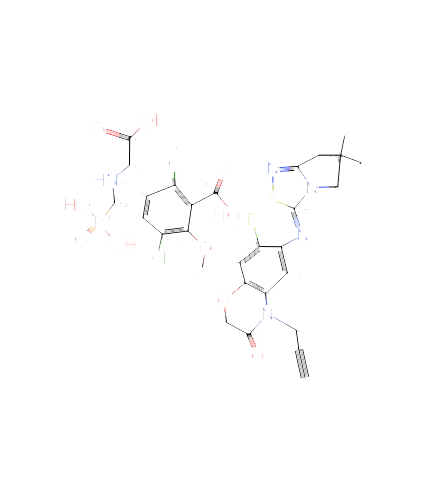 C#CCN1C(=O)COc2cc(F)c(/N=c3\snc4n3CC(C)(C)C4)cc21.COc1c(Cl)ccc(Cl)c1C(=O)O.O=C(O)CNCP(=O)(O)O